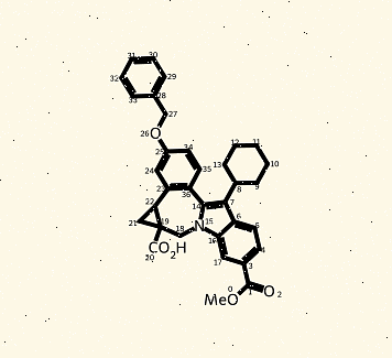 COC(=O)c1ccc2c(C3CCCCC3)c3n(c2c1)CC1(C(=O)O)CC1c1cc(OCc2ccccc2)ccc1-3